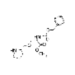 COC(=O)[C@H](COC[C@@H]1CCCN1)NC(=O)OCc1ccccc1